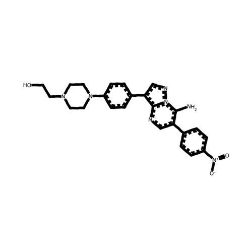 Nc1c(-c2ccc([N+](=O)[O-])cc2)cnc2c(-c3ccc(N4CCN(CCO)CC4)cc3)cnn12